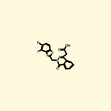 O=C(O)Cc1nn(Cc2nc3c(F)c(F)ccc3s2)c(=O)c2ccccc12